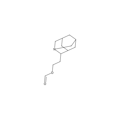 O=COCCC1C2CC3CC(C2)CN1C3